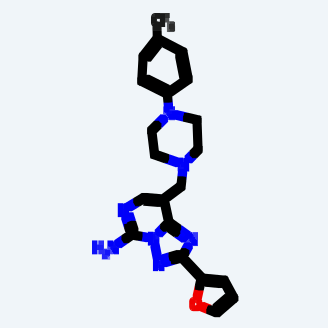 Nc1ncc(CN2CCN(c3ccc(C(F)(F)F)cc3)CC2)c2nc(-c3ccco3)nn12